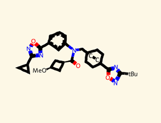 CO[C@H]1C[C@@H](C(=O)N(CC23CCC(c4nc(C(C)(C)C)no4)(CC2)CC3)c2cccc(-c3nc(C4CC4)no3)c2)C1